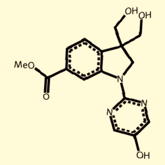 COC(=O)c1ccc2c(c1)N(c1ncc(O)cn1)CC2(CO)CO